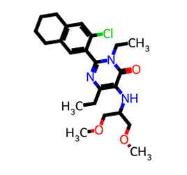 CCc1nc(-c2cc3c(cc2Cl)CCCC3)n(CC)c(=O)c1NC(COC)COC